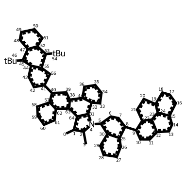 Cc1c(C)n(-c2ccc(-c3ccc4ccc5cccc6ccc3c4c56)c3ccccc23)c2c3ccccc3c3cc(-c4ccc5c(C(C)(C)C)c6ccccc6c(C(C)(C)C)c5c4)c4ccccc4c3c12